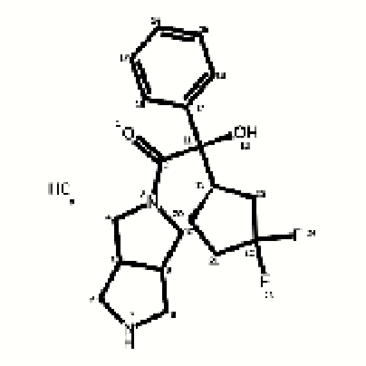 Cl.O=C(N1CC2CNCC2C1)[C@](O)(c1ccccc1)[C@@H]1CCC(F)(F)C1